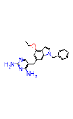 CCOc1cc(Cc2cnc(N)nc2N)cc2c1ccn2Cc1ccccc1